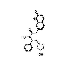 CN(C(=O)Cc1ccc2ccc(=O)[nH]c2c1)[C@H](CN1CC[C@H](O)C1)c1ccccc1